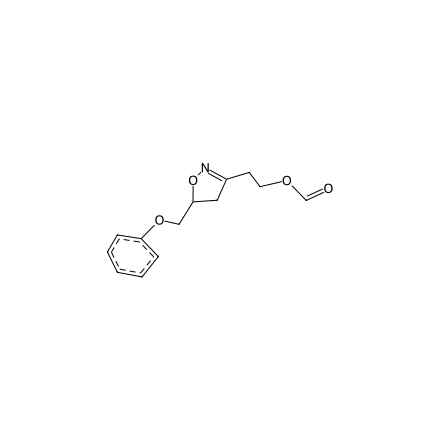 O=COCCC1=NOC(COc2ccccc2)C1